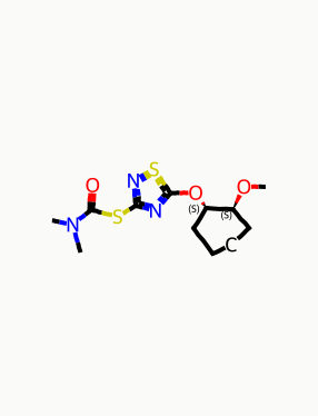 CO[C@H]1CCCC[C@@H]1Oc1nc(SC(=O)N(C)C)ns1